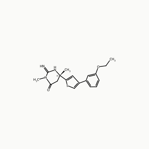 CCOc1cccc(-c2csc([C@]3(C)CC(=O)N(C)C(=N)N3)c2)c1